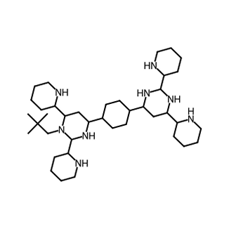 CC(C)(C)CN1C(C2CCCCN2)CC(C2CCC(C3CC(C4CCCCN4)NC(C4CCCCN4)N3)CC2)NC1C1CCCCN1